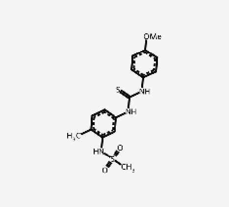 COc1ccc(NC(=S)Nc2ccc(C)c(NS(C)(=O)=O)c2)cc1